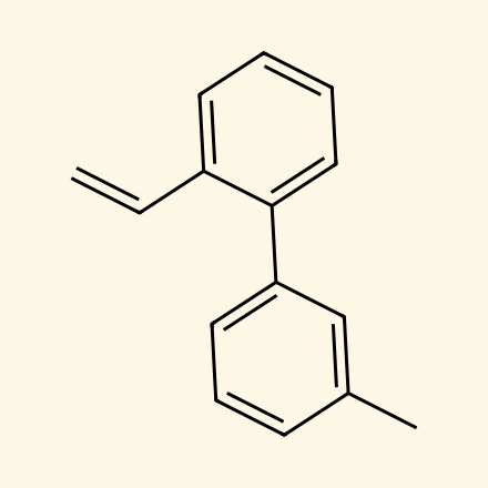 C=Cc1ccccc1-c1cccc(C)c1